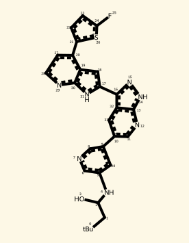 CC(C)(C)CC(O)Nc1cncc(-c2cnc3[nH]nc(-c4cc5c(-c6ccc(F)s6)ccnc5[nH]4)c3c2)c1